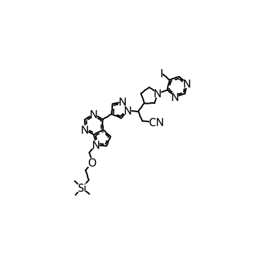 C[Si](C)(C)CCOCn1ccc2c(-c3cnn(C(CC#N)C4CCN(c5ncncc5I)C4)c3)ncnc21